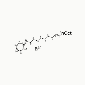 CCCCCCCCC=CCCCCCCCC[n+]1ccccc1.[Br-]